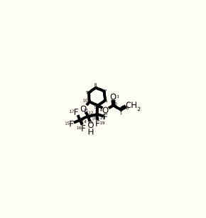 C=CC(=O)OC12CCCCC1OC(O)(C(F)(F)F)C2(F)F